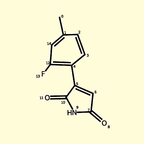 Cc1ccc(C2=CC(=O)NC2=O)c(F)c1